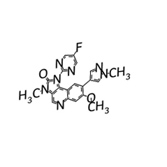 COc1cc2ncc3c(c2cc1-c1cnn(C)c1)n(-c1ncc(F)cn1)c(=O)n3C